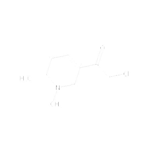 C[C@@H]1CC=C(C(=O)CCl)CN1C